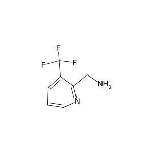 NCc1ncccc1C(F)(F)F